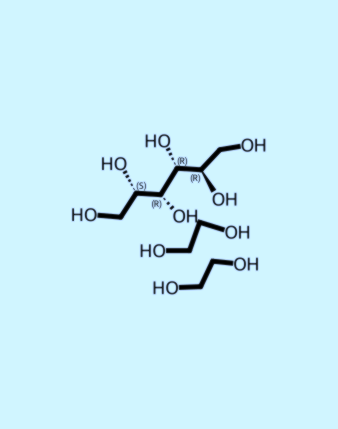 OCCO.OCCO.OC[C@@H](O)[C@@H](O)[C@H](O)[C@@H](O)CO